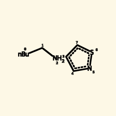 CCCCCN.c1cnsc1